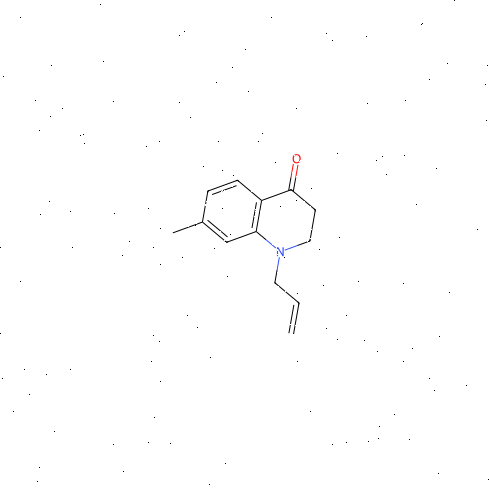 C=CCN1CCC(=O)c2ccc(C)cc21